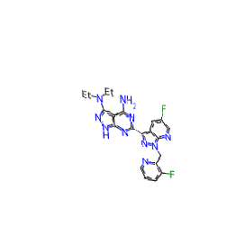 CCN(CC)c1n[nH]c2nc(-c3nn(Cc4ncccc4F)c4ncc(F)cc34)nc(N)c12